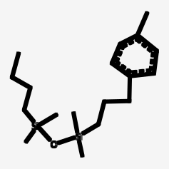 CCCC[Si](C)(C)O[Si](C)(C)CCCc1ccc(C)cc1